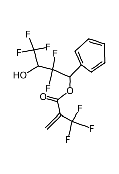 C=C(C(=O)OC(c1ccccc1)C(F)(F)C(O)C(F)(F)F)C(F)(F)F